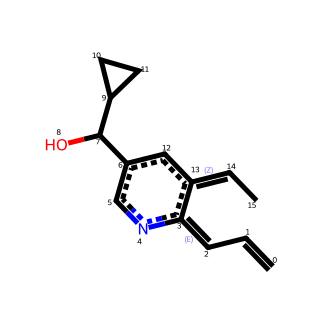 C=C/C=c1/ncc(C(O)C2CC2)c/c1=C/C